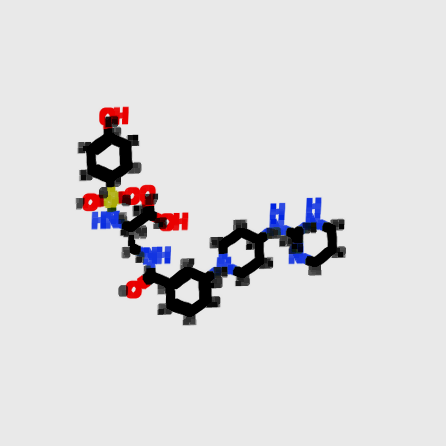 O=C(NC[C@H](NS(=O)(=O)c1ccc(O)cc1)C(=O)O)c1cccc(N2CCC(NC3=NCCCN3)CC2)c1